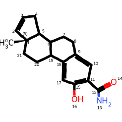 C[C@@]12C=CCC1C1CCc3cc(C(N)=O)c(O)cc3C1CC2